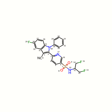 N#Cc1c(-c2ccc(S(=O)(=O)NC(CF)CF)cn2)n(-c2ccccc2)c2ccc(F)cc12